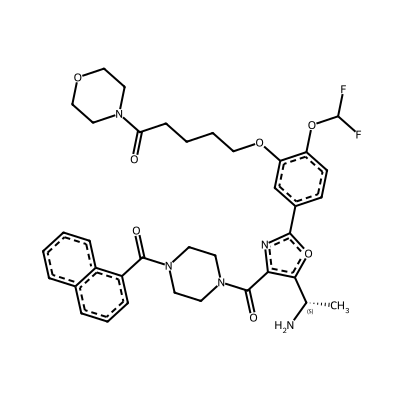 C[C@H](N)c1oc(-c2ccc(OC(F)F)c(OCCCCC(=O)N3CCOCC3)c2)nc1C(=O)N1CCN(C(=O)c2cccc3ccccc23)CC1